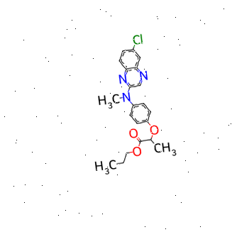 CCCOC(=O)C(C)Oc1ccc(N(C)c2cnc3cc(Cl)ccc3n2)cc1